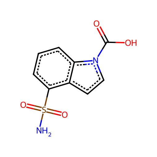 NS(=O)(=O)c1cccc2c1ccn2C(=O)O